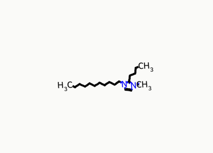 CCCCCCCCCCCn1cc[n+](C)c1CCCC